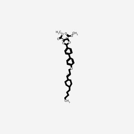 CCCCCC1CCC(/C=C/COc2ccc(-c3ccc(C4O[C@@H](C(=O)OC)[C@H](C(=O)OC)O4)cc3)cc2)CC1